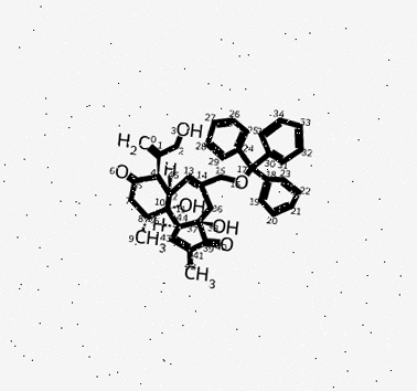 C=C(CO)[C@@H]1C(=O)C[C@@H](C)[C@@]2(O)[C@H]1C=C(COC(c1ccccc1)(c1ccccc1)c1ccccc1)C[C@]1(O)C(=O)C(C)=C[C@@H]21